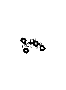 CC(C)(COC(Oc1ccccc1)c1ccccc1)c1ccc(OC2CCCCC2)cc1